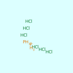 Cl.Cl.Cl.Cl.Cl.Cl.P.P